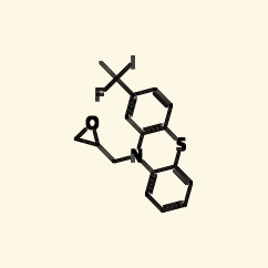 CC(F)(I)c1ccc2c(c1)N(CC1CO1)c1ccccc1S2